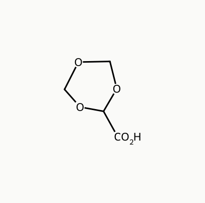 O=C(O)C1OCOCO1